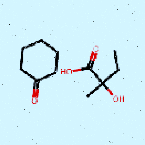 CCC(C)(O)C(=O)O.O=C1CCCCC1